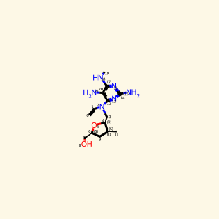 C=CN(C[C@@H]1O[C@H](CO)C[C@@H]1C)c1nc(N)nc(NC)c1N